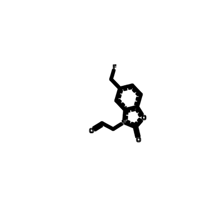 O=CCn1c(=O)oc2ccc(CF)cc21